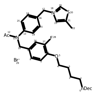 CCCCCCCCCCCCCCOc1ccc(CN(C(C)=O)c2ccc(C[n+]3csc(C)c3)cc2)cc1F.[Br-]